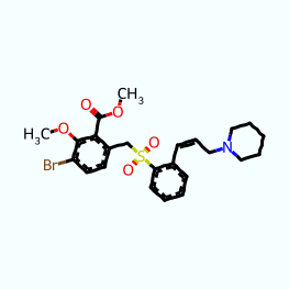 COC(=O)c1c(CS(=O)(=O)c2ccccc2/C=C\CN2CCCCC2)ccc(Br)c1OC